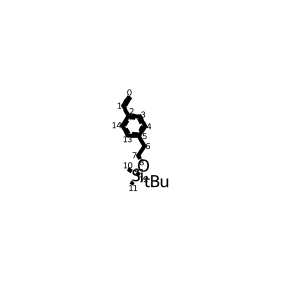 C=Cc1ccc(CCO[Si](C)(C)C(C)(C)C)cc1